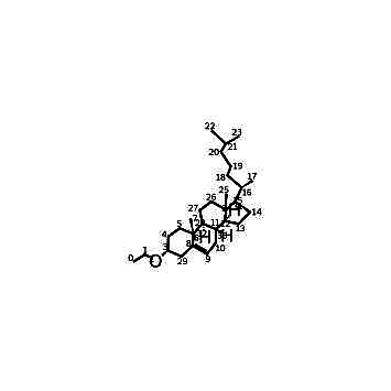 CCO[C@H]1CC[C@@]2(C)C(=CC[C@H]3[C@@H]4CC[C@H]([C@H](C)CCCC(C)C)[C@@]4(C)CC[C@@H]32)C1